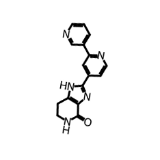 O=C1NCCc2[nH]c(-c3ccnc(-c4cccnc4)c3)nc21